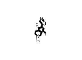 Fc1c(-c2cnco2)cc(I)c2c1CCNC2